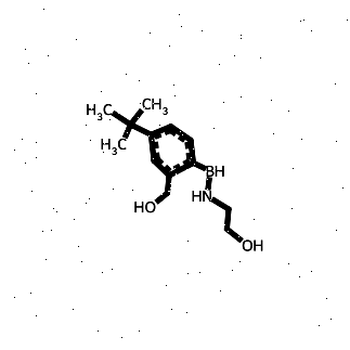 CC(C)(C)c1ccc(BNCCO)c(CO)c1